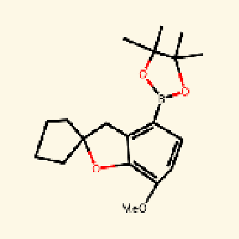 COc1ccc(B2OC(C)(C)C(C)(C)O2)c2c1OC1(CCCC1)C2